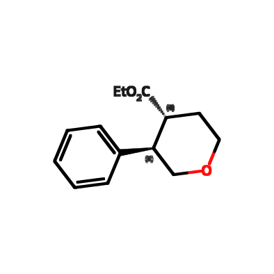 CCOC(=O)[C@@H]1CCOC[C@H]1c1ccccc1